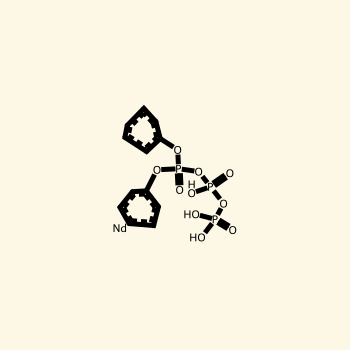 O=P(O)(O)OP(=O)(O)OP(=O)(Oc1ccccc1)Oc1ccccc1.[Nd]